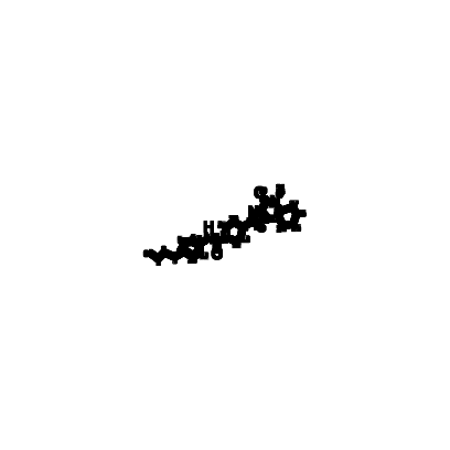 CCCCc1ccc(NC(=O)N2CCC(c3nc(C(=O)N(C)C4CCCCC4)cs3)CC2)cc1